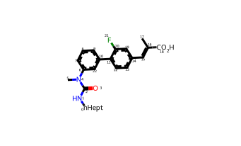 CCCCCCCNC(=O)N(C)c1cccc(-c2ccc(/C=C(\C)C(=O)O)cc2F)c1